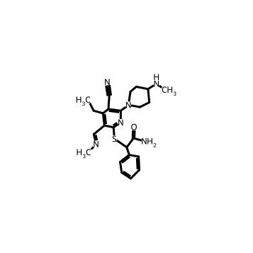 CCc1c(C#N)c(N2CCC(NC)CC2)nc(SC(C(N)=O)c2ccccc2)c1/C=N/C